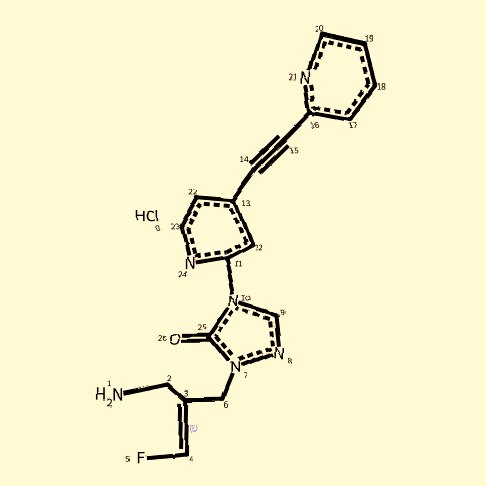 Cl.NC/C(=C\F)Cn1ncn(-c2cc(C#Cc3ccccn3)ccn2)c1=O